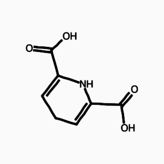 O=C(O)C1=CCC=C(C(=O)O)N1